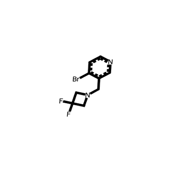 FC1(F)CN(Cc2cnccc2Br)C1